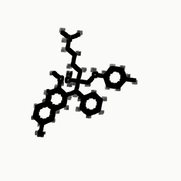 COc1nc2ccc(Br)cc2cc1C(c1ccccc1)C(O)(CCCCN(C)C)COc1ccc(C)cc1